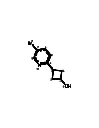 OC1CC(c2ccc(Br)cn2)C1